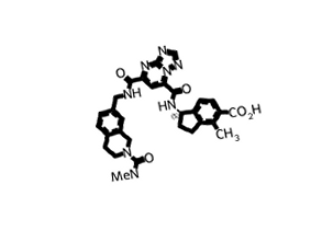 CNC(=O)N1CCc2ccc(CNC(=O)c3cc(C(=O)N[C@H]4CCc5c4ccc(C(=O)O)c5C)n4ncnc4n3)cc2C1